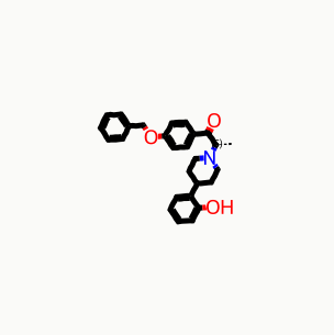 C[C@@H](C(=O)c1ccc(OCc2ccccc2)cc1)N1CCC(c2ccccc2O)CC1